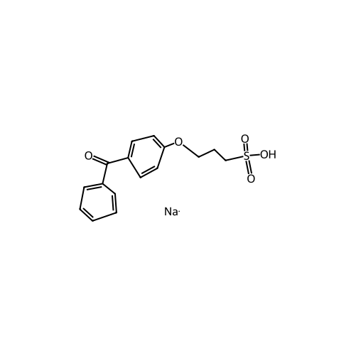 O=C(c1ccccc1)c1ccc(OCCCS(=O)(=O)O)cc1.[Na]